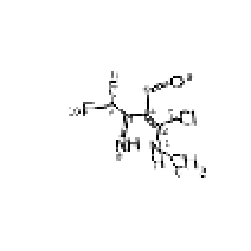 CN/C(Cl)=C(/C=O)C(=N)C(F)F